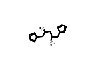 CC(CC1C=CC=C1)CC(C)CC1C=CC=C1.[Ni]